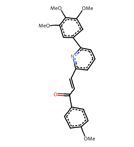 COc1ccc(C(=O)C=Cc2cccc(-c3cc(OC)c(OC)c(OC)c3)n2)cc1